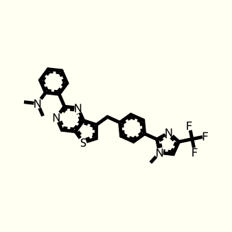 CN(C)c1ccccc1-c1ncc2scc(Cc3ccc(-c4nc(C(F)(F)F)cn4C)cc3)c2n1